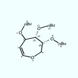 CCCCOC1C=COC[C@@H](OCCCC)[C@H]1OCCCC